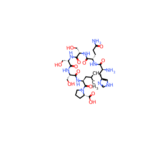 CC(C)C[C@H](NC(=O)[C@H](CO)NC(=O)[C@H](CO)NC(=O)[C@H](CO)NC(=O)[C@H](CCC(N)=O)NC(=O)[C@@H](N)Cc1c[nH]cn1)C(=O)N1CCC[C@H]1C(=O)O